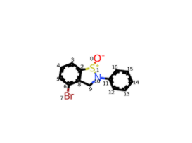 [O-][S+]1c2cccc(Br)c2CN1c1ccccc1